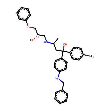 CC(CC(O)(c1ccc(N)cc1)c1ccc(NCc2ccccc2)cc1)NC[C@H](O)COc1ccccc1